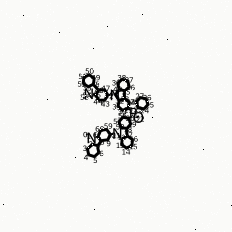 Cn1c2ccccc2c2cc(-n3c4ccccc4c4cc(P(=O)(c5ccccc5)c5ccc6c(c5)c5ccccc5n6-c5ccc6c(c5)c5ccccc5n6C)ccc43)ccc21